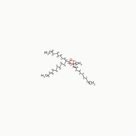 CCCCCCCC/C=C/C1(C)COC(C(CCCCCCCC)CCCCCCCCCC)O1